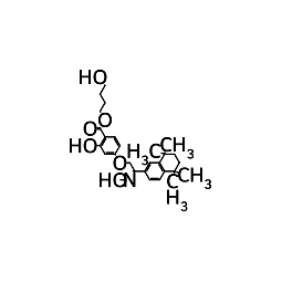 CC1(C)CCC(C)(C)c2cc(C(COc3ccc(C(=O)OCCCCO)c(O)c3)=NO)ccc21